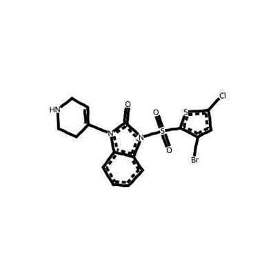 O=c1n(C2=CCNCC2)c2ccccc2n1S(=O)(=O)c1sc(Cl)cc1Br